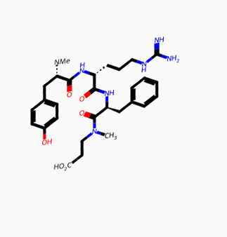 CN[C@@H](Cc1ccc(O)cc1)C(=O)N[C@H](CCCNC(=N)N)C(=O)N[C@@H](Cc1ccccc1)C(=O)N(C)CCC(=O)O